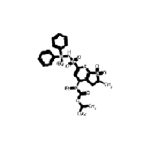 CCN(C(=O)OC(C)OC(C)=O)[C@H]1C=C(S(=O)(=O)N[Si](c2ccccc2)(c2ccccc2)C(C)(C)C)SC2=C1C[C@H](C)S2(=O)=O